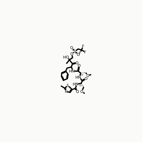 COC[C@H](NC(=O)c1cnc(C)s1)C(=O)N[C@@H](COC)C(=O)NC(Cc1ccccc1)C(=O)C(C)(O)COS(=O)(=O)CC(F)(F)F